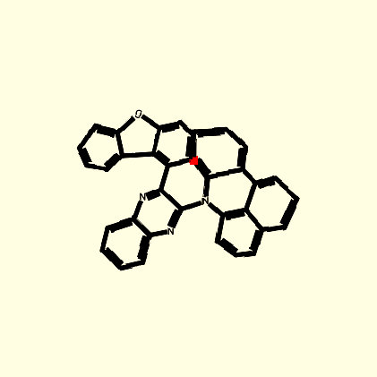 c1ccc2c(c1)-c1cccc3cccc(c13)N2c1nc2ccccc2nc1-c1cccc2oc3ccccc3c12